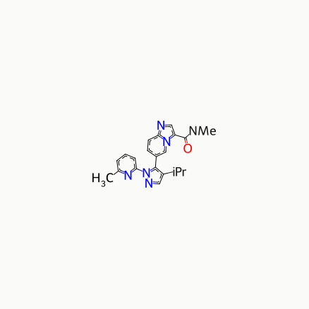 CNC(=O)c1cnc2ccc(-c3c(C(C)C)cnn3-c3cccc(C)n3)cn12